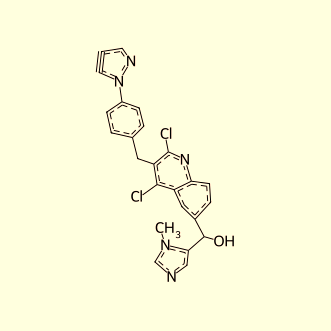 Cn1cncc1C(O)c1ccc2nc(Cl)c(Cc3ccc(-n4c#ccn4)cc3)c(Cl)c2c1